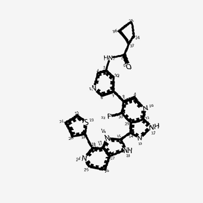 O=C(Nc1cncc(-c2cnc3[nH]nc(-c4nc5c(-c6cccs6)nccc5[nH]4)c3c2F)c1)C1CCC1